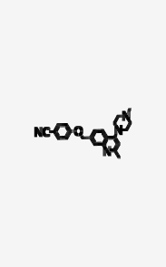 Cc1cc(N2CCN(C)CC2)c2ccc(COc3ccc(C#N)cc3)cc2n1